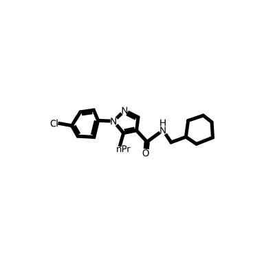 CCCc1c(C(=O)NCC2CCCCC2)cnn1-c1ccc(Cl)cc1